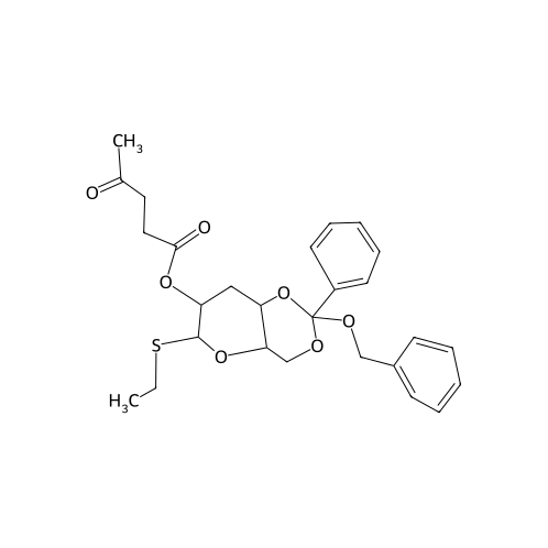 CCSC1OC2COC(OCc3ccccc3)(c3ccccc3)OC2CC1OC(=O)CCC(C)=O